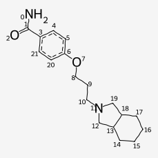 NC(=O)c1ccc(OCCCN2CC3CCCCC3C2)cc1